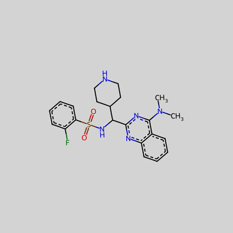 CN(C)c1nc(C(NS(=O)(=O)c2ccccc2F)C2CCNCC2)nc2ccccc12